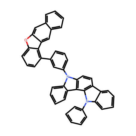 c1ccc(-n2c3ccccc3c3ccc4c(c5ccccc5n4-c4cccc(-c5cccc6oc7cc8ccccc8cc7c56)c4)c32)cc1